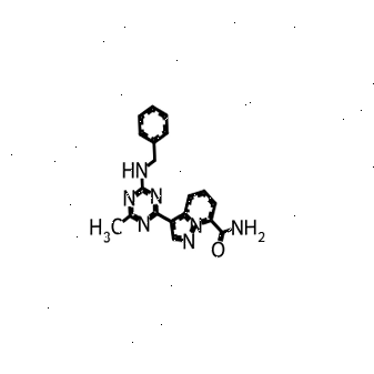 Cc1nc(NCc2ccccc2)nc(-c2cnn3c(C(N)=O)cccc23)n1